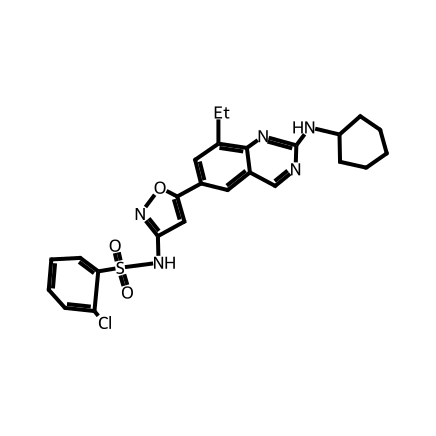 CCc1cc(-c2cc(NS(=O)(=O)c3ccccc3Cl)no2)cc2cnc(NC3CCCCC3)nc12